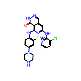 COc1cc(N2CCNCC2)ccc1Nc1nc(Nc2ncccc2Cl)cc2cn[nH]c(=O)c12